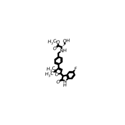 COC(=O)[C@H](CO)NCc1ccc(C2=CC(C3C(=O)Nc4ccc(F)cc43)OC2(C)C)cc1